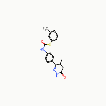 CC1CC(=O)NN=C1c1ccc(NC(=O)Sc2cccc(C(F)(F)F)c2)cc1